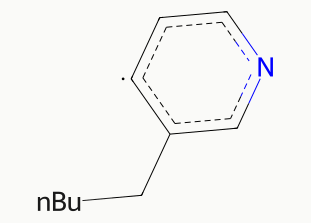 CCCCCc1[c]ccnc1